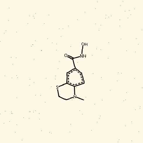 CN1CCSc2cc(C(=O)NO)ccc21